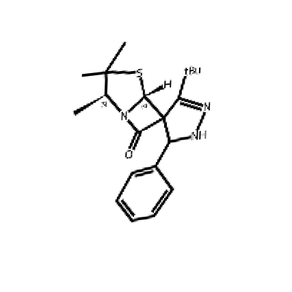 C[C@@H]1N2C(=O)C3(C(C(C)(C)C)=NNC3c3ccccc3)[C@H]2SC1(C)C